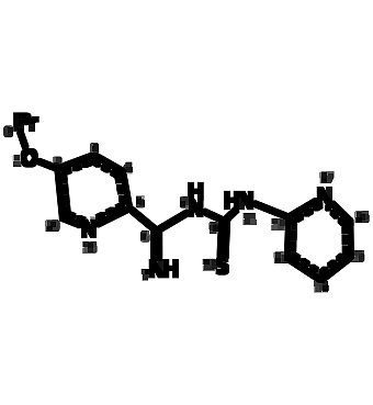 CC(C)Oc1ccc(C(=N)NC(=S)Nc2ccccn2)nc1